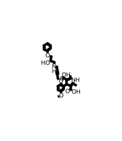 COc1ccc(OCC#CCNCC(O)COc2ccccc2)c(C2C(C(=O)O)=C(C)NC(C)=C2C(=O)O)c1